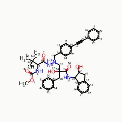 COC(=O)NC(C(=O)NN(Cc1ccc(C#Cc2ccccc2)cc1)CC(O)(Cc1ccccc1)C(=O)NC1c2ccccc2CC1O)C(C)(C)C